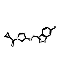 O=C(C1CC1)N1CCC(OCc2nsc3cc(F)ccc23)C1